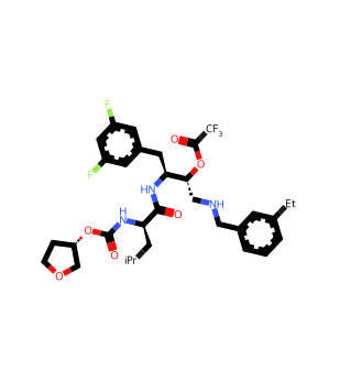 CCc1cccc(CNC[C@@H](OC(=O)C(F)(F)F)[C@H](Cc2cc(F)cc(F)c2)NC(=O)[C@@H](CC(C)C)NC(=O)O[C@H]2CCOC2)c1